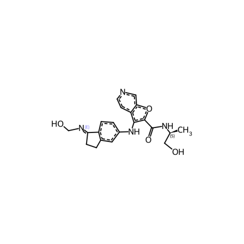 C[C@@H](CO)NC(=O)c1oc2cnccc2c1Nc1ccc2c(c1)CC/C2=N\CO